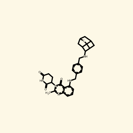 Cc1nc2cccc(NCc3ccc(CNC4C5CC6CC7CC4C75C6)cc3)c2c(=O)n1C1CCC(=O)NC1=O